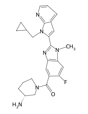 Cn1c(-c2cc3cccnc3n2CC2CC2)nc2cc(C(=O)N3CCC[C@@H](N)C3)c(F)cc21